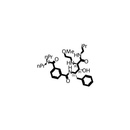 CCCN(CCC)C(=O)c1cccc(C(=O)N[C@@H](Cc2ccccc2)[C@@H](O)[C@@H](NCCOC)C(=O)NCC(C)C)c1